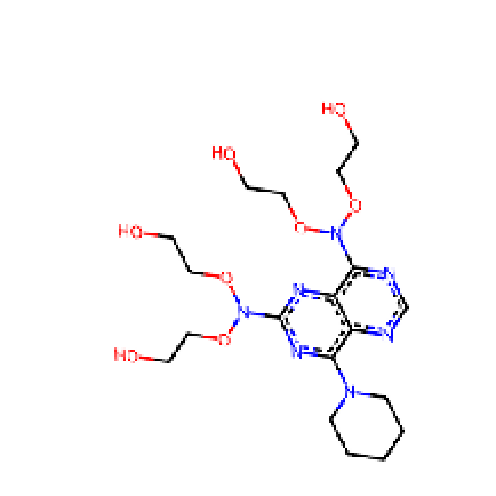 OCCON(OCCO)c1nc(N2CCCCC2)c2ncnc(N(OCCO)OCCO)c2n1